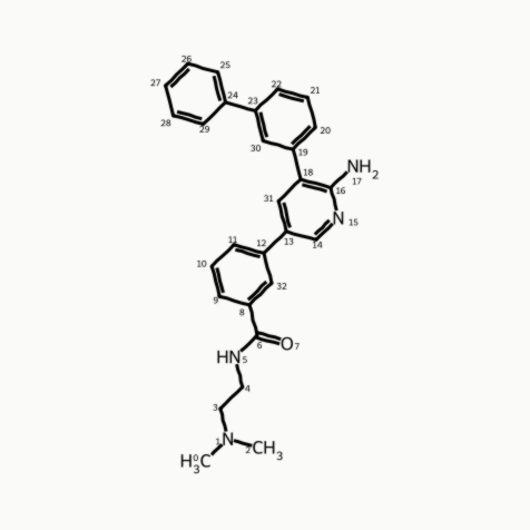 CN(C)CCNC(=O)c1cccc(-c2cnc(N)c(-c3cccc(-c4ccccc4)c3)c2)c1